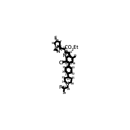 CCOC(=O)C(c1ncn2c1C[C@@H](F)C2)n1cc2c(C)cc(-c3ccc(C4CCN(CC(C)F)CC4)cc3)c(Cl)c2n1